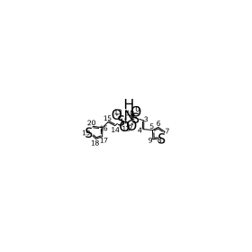 O=S(=O)(/C=C/c1ccsc1)NS(=O)(=O)/C=C/c1ccsc1